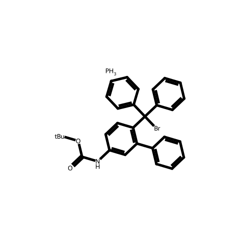 CC(C)(C)OC(=O)Nc1ccc(C(Br)(c2ccccc2)c2ccccc2)c(-c2ccccc2)c1.P